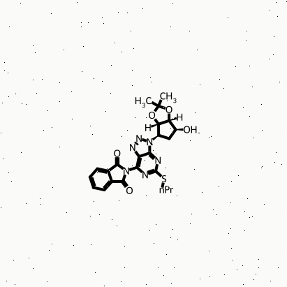 CCCSc1nc(N2C(=O)c3ccccc3C2=O)c2nnn([C@@H]3C[C@H](O)[C@H]4OC(C)(C)O[C@H]43)c2n1